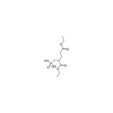 CCOC(=O)CCC(CP(=O)(O)O)C(=O)OCC